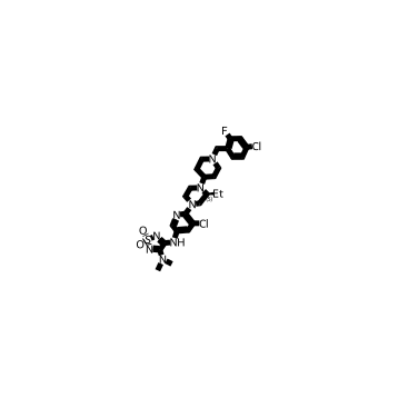 CC[C@H]1CN(c2ncc(NC3=NS(=O)(=O)N=C3N(C)C)cc2Cl)CCN1C1CCN(Cc2ccc(Cl)cc2F)CC1